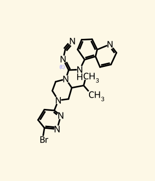 CC(C)C1CN(c2ccc(Br)nn2)CCN1/C(=N/C#N)Nc1cccc2ncccc12